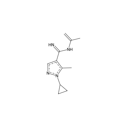 C=C(C)NC(=N)c1cnn(C2CC2)c1C